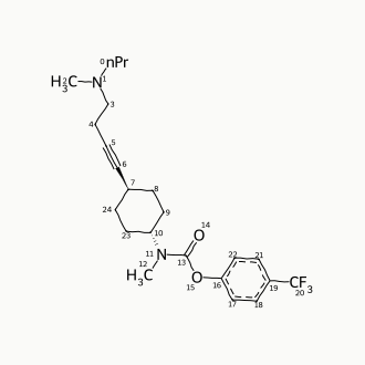 CCCN(C)CCC#C[C@H]1CC[C@H](N(C)C(=O)Oc2ccc(C(F)(F)F)cc2)CC1